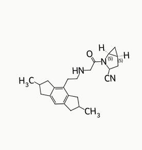 CC1Cc2cc3c(c(CCNCC(=O)N4C(C#N)C[C@@H]5C[C@@H]54)c2C1)CC(C)C3